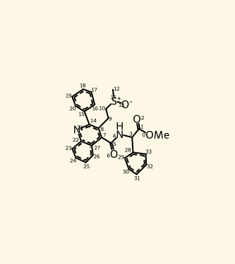 COC(=O)C(NC(=O)c1c(CC[S+](C)[O-])c(-c2ccccc2)nc2ccccc12)c1ccccc1